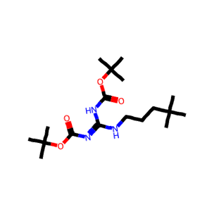 CC(C)(C)CCCN/C(=N/C(=O)OC(C)(C)C)NC(=O)OC(C)(C)C